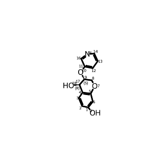 Oc1ccc2c(c1)OC[C@H](Oc1cccnc1)[C@@H]2O